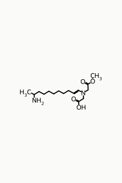 COC(=O)CN(C=CCCCCCCCC(C)N)CC(=O)O